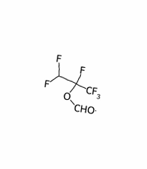 O=[C]OC(F)(C(F)F)C(F)(F)F